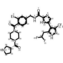 CCc1cc(CNC(=O)c2ncc(-c3c(C(F)(F)F)n[nH]c3CC(F)F)[nH]2)ccc1C(=O)N1CCN(C(=O)[C@@H]2CCNC2)CC1